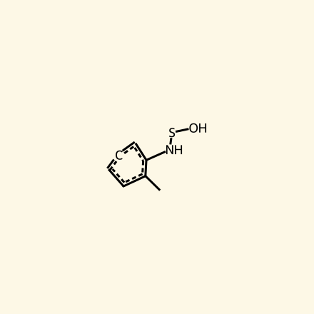 Cc1ccccc1NSO